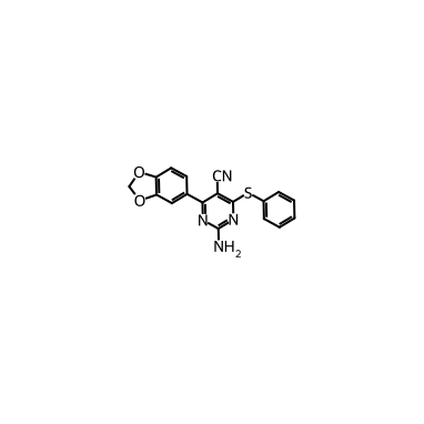 N#Cc1c(Sc2ccccc2)nc(N)nc1-c1ccc2c(c1)OCO2